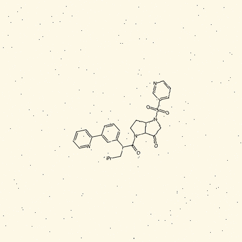 CC(C)CC(C(=O)N1CCC2C1C(=O)CN2S(=O)(=O)c1cccnc1)c1cccc(-c2ccccn2)c1